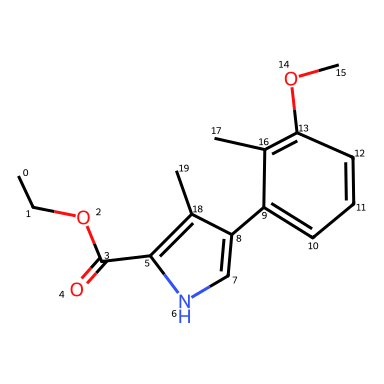 CCOC(=O)c1[nH]cc(-c2cccc(OC)c2C)c1C